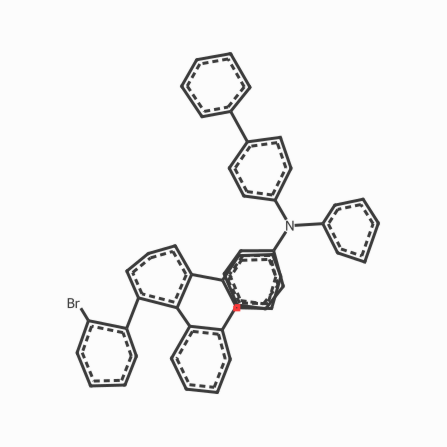 Brc1ccccc1-c1cccc(-c2ccccc2)c1-c1ccccc1-c1ccc(N(c2ccccc2)c2ccc(-c3ccccc3)cc2)cc1